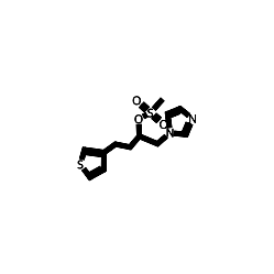 CS(=O)(=O)OC(CCc1ccsc1)Cn1ccnc1